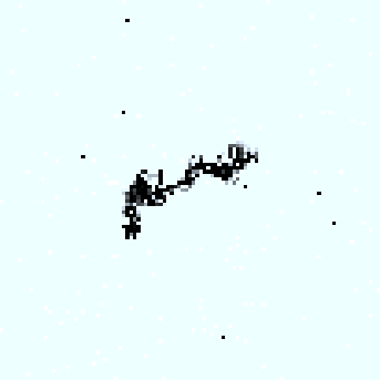 Cc1ncsc1-c1ccc(CNC(=O)[C@@H]2C[C@@H](O)CN2C(=O)[C@@H](NC(=O)COCCCOC2CCN(C(=O)c3ccc(N4C(=S)N(c5ccc(C#N)c(C(F)(F)F)c5)C(=O)C4(C)C)cc3)CC2)C(C)(C)C)cc1